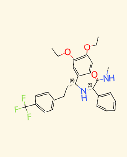 CCOc1ccc([C@@H](CCc2ccc(C(F)(F)F)cc2)N[C@H](C(=O)NC)c2ccccc2)cc1OCC